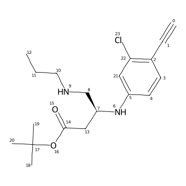 C#Cc1ccc(N[C@H](CNCCC)CC(=O)OC(C)(C)C)cc1Cl